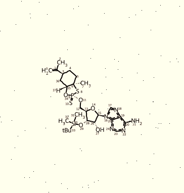 C=C(C)[C@H]1CC[C@@]2(C)S[P@](=S)(OC[C@H]3O[C@@H](n4cnc5c(N)ncnc54)[C@H](O)[C@@H]3O[Si](C)(C)C(C)(C)C)O[C@@H]2C1